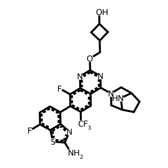 Nc1nc2c(-c3c(C(F)(F)F)cc4c(N5CC6CCC(C5)N6)nc(OCC5CC(O)C5)nc4c3F)ccc(F)c2s1